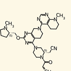 C=CC(=O)N1CCN(c2nc(OC[C@@H]3CCCN3C)nc3c2CCN(c2ncnc4c2CCCN4C)C3)C[C@@H]1CC#N